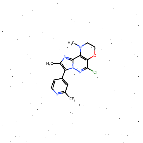 Cc1nc2c3c(c(Cl)nn2c1-c1ccnc(C(F)(F)F)c1)OCCN3C